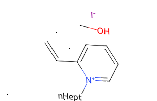 C=Cc1cccc[n+]1CCCCCCC.CO.[I-]